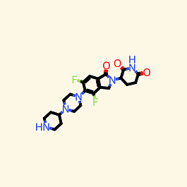 O=C1CCC(N2Cc3c(cc(F)c(N4CCN(C5CCNCC5)CC4)c3F)C2=O)C(=O)N1